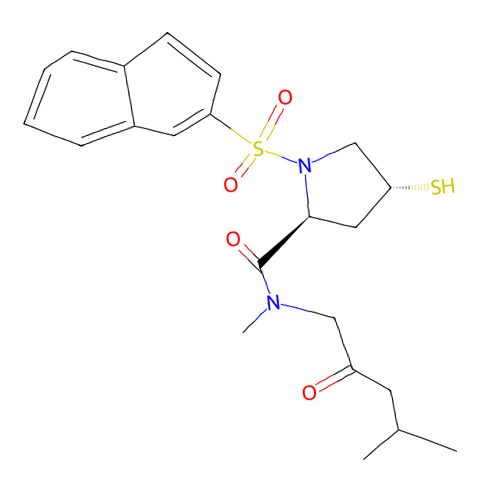 CC(C)CC(=O)CN(C)C(=O)[C@@H]1C[C@@H](S)CN1S(=O)(=O)c1ccc2ccccc2c1